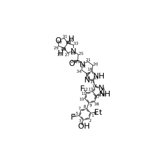 CCc1cc(O)c(F)cc1-c1cc(F)c2c(-c3nc4c([nH]3)CCN(C(=O)CN3C[C@H]5COC[C@H]5C3)C4)n[nH]c2c1